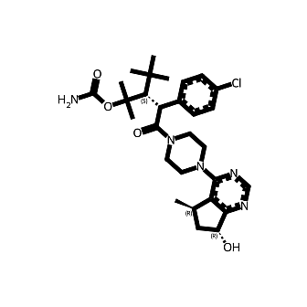 C[C@@H]1C[C@@H](O)c2ncnc(N3CCN(C(=O)C(c4ccc(Cl)cc4)[C@@H](C(C)(C)C)C(C)(C)OC(N)=O)CC3)c21